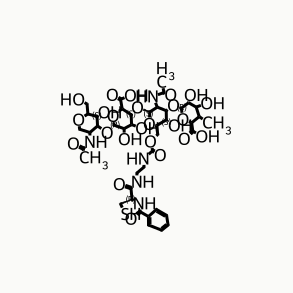 CC(=O)NC1COC(CO)[C@@H](O)C1O[C@@H]1OC(C(=O)O)[C@@H](O[C@@H]2OC(COC(=O)NCCNC(=O)[C@H](CS)NC(=O)c3ccccc3)[C@@H](O)C(O[C@@H]3OC(C(=O)O)C(C)C(O)C3O)C2NC(C)=O)C(O)C1O